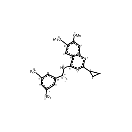 COc1cc2nc(C3CC3)nc(N[C@H](C)c3cc([N+](=O)[O-])cc(C(F)(F)F)c3)c2cc1OC